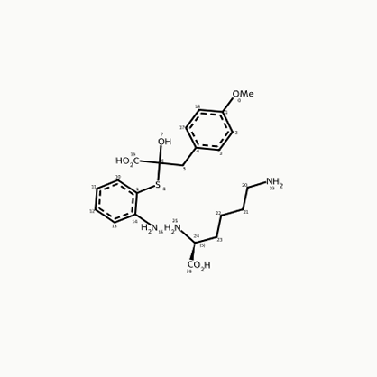 COc1ccc(CC(O)(Sc2ccccc2N)C(=O)O)cc1.NCCCC[C@H](N)C(=O)O